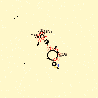 C=CCOC(=O)[C@H]1O[C@@H](Oc2ccc(COC(=O)O[C@H]3[C@@H](C)CCCC(C)=CC[C@@H](c4ccc5sc(C)nc5c4)OC(=O)C[C@H](O[Si](C)(C)C(C)(C)C)C(C)(C)C(=O)[C@@H]3CC=C)cc2)[C@H](O[Si](C)(C)C(C)(C)C)[C@@H](O[Si](C)(C)C(C)(C)C)[C@H]1O[Si](C)(C)C(C)(C)C